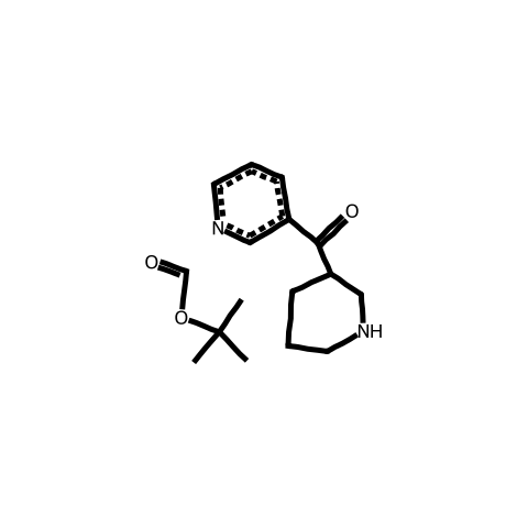 CC(C)(C)OC=O.O=C(c1cccnc1)C1CCCNC1